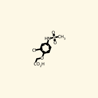 CS(=O)(=O)Nc1ccc(OCC(=O)O)c(Cl)c1